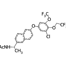 CC(=O)NC(C)c1ccc2cc(Oc3cc(Cl)c(OCC(F)(F)F)c(OC(F)(F)F)c3)ccc2c1